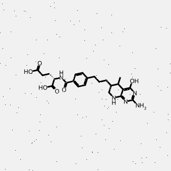 CC1c2c(O)nc(N)nc2NCC1CCCc1ccc(C(=O)N[C@@H](CCC(=O)O)C(=O)O)cc1